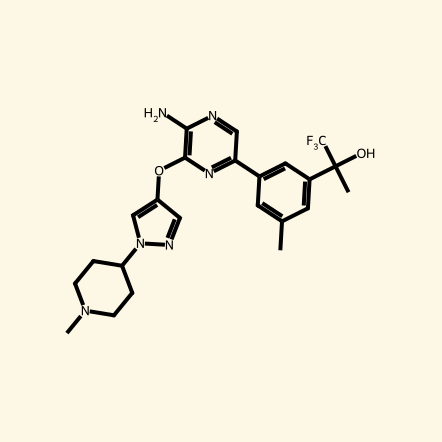 Cc1cc(-c2cnc(N)c(Oc3cnn(C4CCN(C)CC4)c3)n2)cc(C(C)(O)C(F)(F)F)c1